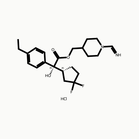 CCc1ccc([C@@](O)(C(=O)OCC2CCN(C=N)CC2)[C@@H]2CCC(F)(F)C2)cc1.Cl